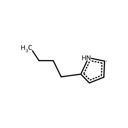 CCCCc1cc[c][nH]1